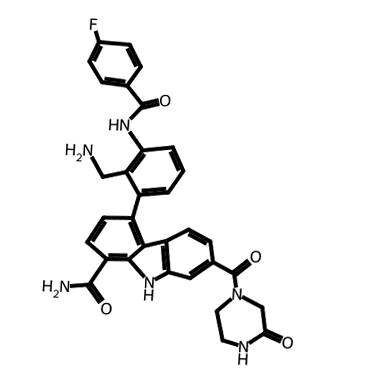 NCc1c(NC(=O)c2ccc(F)cc2)cccc1-c1ccc(C(N)=O)c2[nH]c3cc(C(=O)N4CCNC(=O)C4)ccc3c12